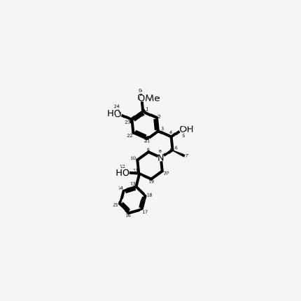 COc1cc(C(O)[C@@H](C)N2CCC(O)(c3ccccc3)CC2)ccc1O